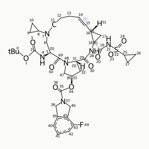 CC(C)(C)OC(=O)N[C@H]1CN(C2CC2)CCC/C=C\[C@@H]2C[C@@]2(C(=O)NS(=O)(=O)C2CC2)NC(=O)[C@@H]2C[C@@H](OC(=O)N3Cc4cccc(F)c4C3)CN2C1=O